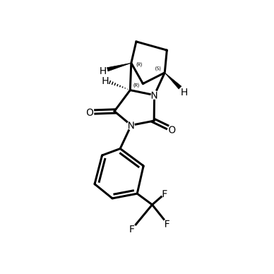 O=C1[C@H]2[C@@H]3CC[C@@H](C3)N2C(=O)N1c1cccc(C(F)(F)F)c1